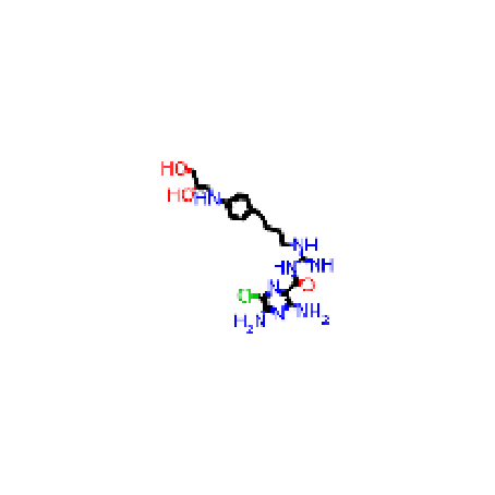 N=C(NCCCCc1ccc(NC[C@@H](O)CO)cc1)NC(=O)c1nc(Cl)c(N)nc1N